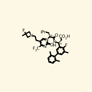 Cc1cc(-c2c(C)cccc2C)cc([C@H](CC(=O)O)NC(=O)[C@H](CC(C)C)n2cc(CCN3CC(C)(F)C3)c(C(F)(F)F)nc2=O)c1F